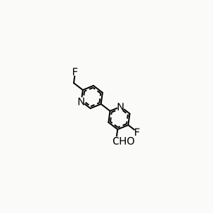 O=Cc1cc(-c2ccc(CF)nc2)ncc1F